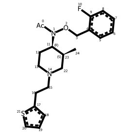 CC(=O)N(OCc1ccccc1F)[C@@H]1CCN(CCc2cccs2)C[C@@H]1C